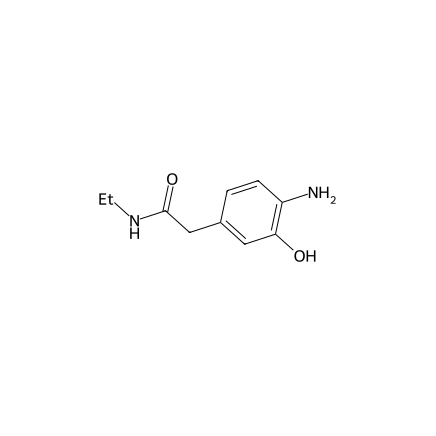 CCNC(=O)Cc1ccc(N)c(O)c1